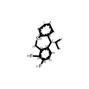 CC(C)[C@H]1c2ccccc2SCc2c1ccc(F)c2F